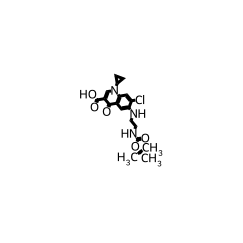 CC(C)(C)OC(=O)NCCNc1cc2c(=O)c(C(=O)O)cn(C3CC3)c2cc1Cl